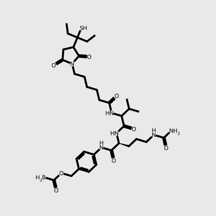 BC(=O)OCc1ccc(NC(=O)[C@H](CCCNC(N)=O)NC(=O)C(NC(=O)CCCCCN2C(=O)CC(C(S)(CC)CC)C2=O)C(C)C)cc1